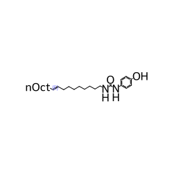 CCCCCCCC/C=C/CCCCCCCCNC(=O)Nc1ccc(O)cc1